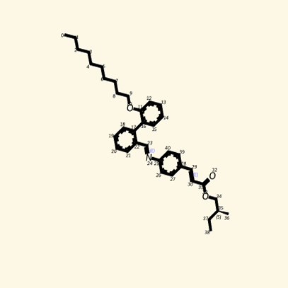 CCCCCCCCCCOc1ccccc1-c1ccccc1/C=N/c1ccc(/C=C/C(=O)OC[C@@H](C)CC)cc1